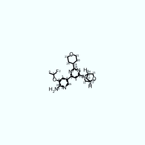 CC(F)Oc1cc(-c2cc(N3C[C@@H]4C[C@H]3CO4)nc(C3CCOCC3)n2)cnc1N